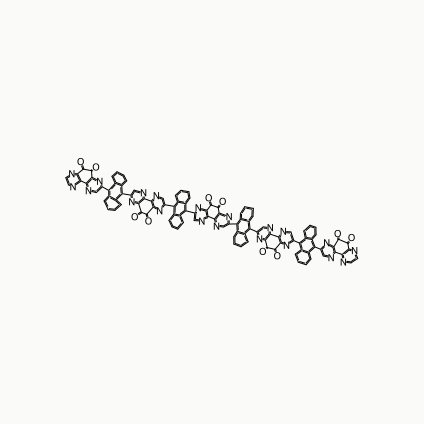 O=C1C(=O)c2nc(-c3c4ccccc4c(-c4cnc5c(n4)C(=O)C(=O)c4nc(-c6c7ccccc7c(-c7cnc8c(n7)C(=O)C(=O)c7nc(-c9c%10ccccc%10c(-c%10cnc%11c(n%10)C(=O)C(=O)c%10nc(-c%12c%13ccccc%13c(-c%13cnc%14c(n%13)C(=O)C(=O)c%13nccnc%13-%14)c%13ccccc%12%13)cnc%10-%11)c%10ccccc9%10)cnc7-8)c7ccccc67)cnc4-5)c4ccccc34)cnc2-c2nccnc21